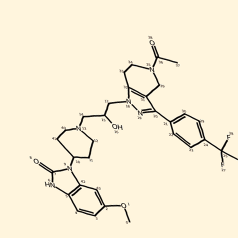 COc1ccc2[nH]c(=O)n(C3CCN(CC(O)Cn4nc(-c5ccc(C(F)(F)F)cc5)c5c4CCN(C(C)=O)C5)CC3)c2c1